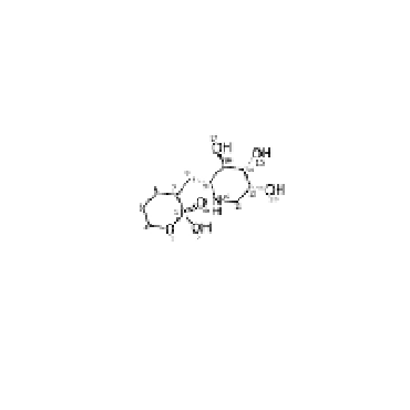 O=P1(O)OCCCC1C[C@H]1NC[C@@H](O)[C@@H](O)[C@@H]1O